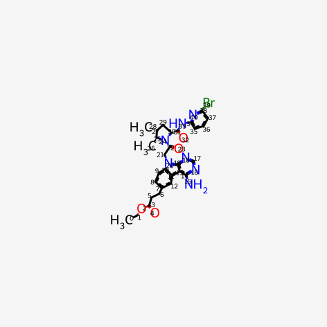 CCOC(=O)CCc1ccc2c(c1)c1c(N)ncnc1n2CC(=O)N1[C@H](C)[C@H](C)C[C@H]1C(=O)Nc1cccc(Br)n1